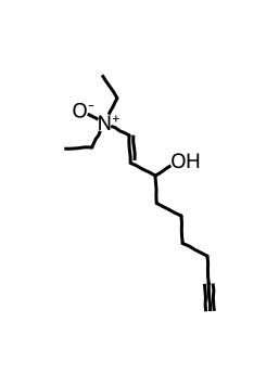 C#CCCCCC(O)/C=C/[N+]([O-])(CC)CC